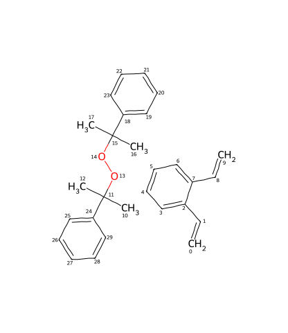 C=Cc1ccccc1C=C.CC(C)(OOC(C)(C)c1ccccc1)c1ccccc1